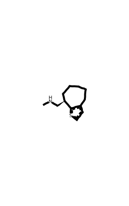 CNC[C@H]1CCCCCc2ccsc21